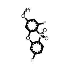 CC(C)Oc1cc(F)c2c(c1)Oc1cc(F)ccc1S2(=O)=O